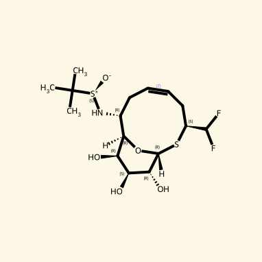 CC(C)(C)[S@@+]([O-])N[C@@H]1C/C=C\C[C@@H](C(F)F)S[C@H]2O[C@H]1[C@H](O)[C@H](O)[C@H]2O